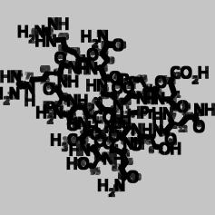 CC[C@H](C)[C@H](NC(=O)[C@H](CO)NC(=O)[C@H](CCC(N)=O)NC(=O)[C@H](CCC(=O)O)NC(=O)[C@H](CC(C)C)NC(=O)[C@H](CC(C)C)NC(=O)[C@H](CCCCN)NC(=O)[C@H](CCC(N)=O)NC(=O)[C@H](CCCNC(=N)N)NC(=O)[C@H](CCCNC(=N)N)NC(=O)[C@@H](N)C(C)C)C(=O)N[C@@H](CCC(N)=O)C(=O)N[C@@H](CO)C(=O)N[C@@H](C)C(=O)N[C@@H](CCC(N)=O)C(=O)O